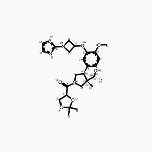 COc1ccc([C@@H]2CN(C(=O)C3COC(C)(C)O3)C[C@@]2(C)[C@@H](C)O)cc1OC1CN(c2nccs2)C1